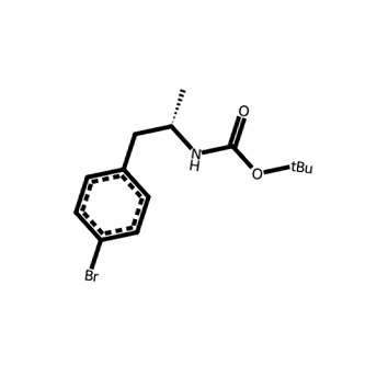 C[C@@H](Cc1ccc(Br)cc1)NC(=O)OC(C)(C)C